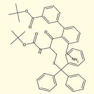 CC(C)(C)OC(=O)NC(CSC(c1ccccc1)(c1ccccc1)c1ccccc1)C(=O)c1c(CN)cccc1-c1cccc(C(=O)OC(C)(C)C)c1